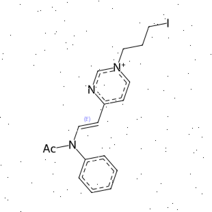 CC(=O)N(/C=C/c1cc[n+](CCCI)cn1)c1ccccc1